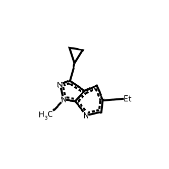 CCc1cnc2c(c1)c(C1CC1)nn2C